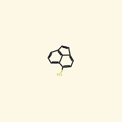 Sc1ccc2c3c(cccc13)C=C2